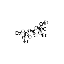 CCOP(=O)(OCC)OC(Cl)OP(=O)(OCC)OCC